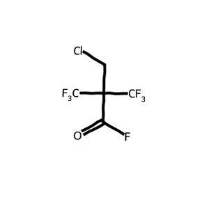 O=C(F)C(CCl)(C(F)(F)F)C(F)(F)F